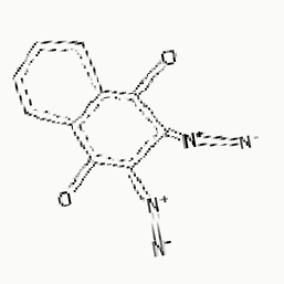 [N-]=[N+]=c1c(=[N+]=[N-])c(=O)c2ccccc2c1=O